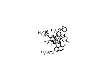 COCOc1cc(-c2ncc3c(N4CCC[C@@](C)(OC5CCCCO5)C4)nc(COS(C)(=O)=O)c(C)c3c2F)c2c(C#C[Si](C(C)C)(C(C)C)C(C)C)c(F)ccc2c1